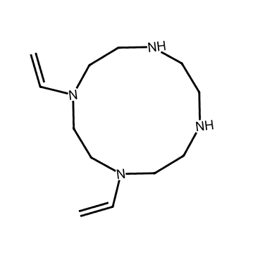 C=CN1CCNCCNCCN(C=C)CC1